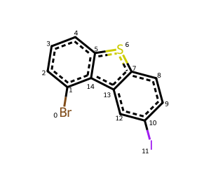 Brc1cccc2sc3ccc(I)cc3c12